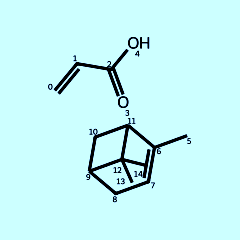 C=CC(=O)O.CC1=CCC2CC1C2(C)C